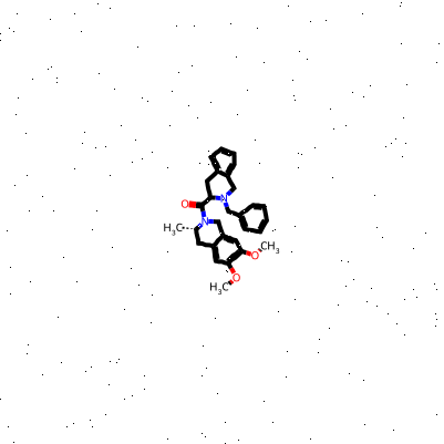 COc1cc2c(cc1OC)CN(C(=O)C1Cc3ccccc3CN1Cc1ccccc1)[C@@H](C)C2